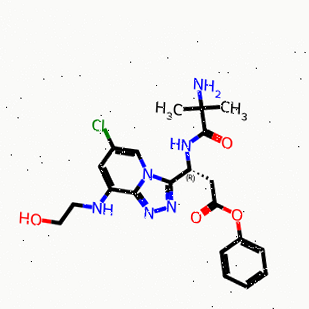 CC(C)(N)C(=O)N[C@H](CC(=O)Oc1ccccc1)c1nnc2c(NCCO)cc(Cl)cn12